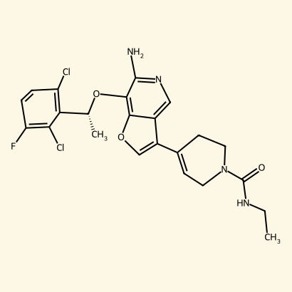 CCNC(=O)N1CC=C(c2coc3c(O[C@H](C)c4c(Cl)ccc(F)c4Cl)c(N)ncc23)CC1